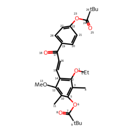 CCOc1c(C)c(OC(=O)C(C)(C)C)c(C)c(OC)c1C=CC(=O)c1ccc(OC(=O)C(C)(C)C)cc1